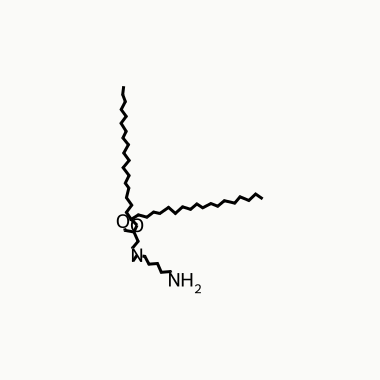 CCCCCCCCCCCCCCCCCCC1(CCCCCCCCCCCCCCCCCC)OCC(CCN(C)CCCCCN)O1